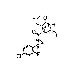 CC[C@H]1CN(C(=O)[C@@H]2C[C@H]2c2ccc(Cl)cc2F)[C@@H](CC(C)C)C(=O)N1